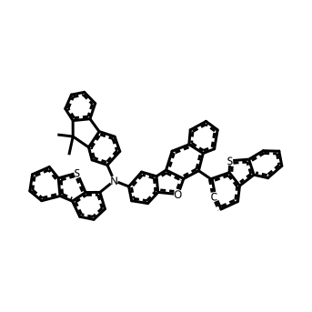 CC1(C)c2ccccc2-c2ccc(N(c3ccc4oc5c(-c6cccc7c6sc6ccccc67)c6ccccc6cc5c4c3)c3cccc4c3sc3ccccc34)cc21